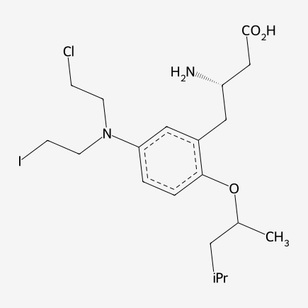 CC(C)CC(C)Oc1ccc(N(CCCl)CCI)cc1C[C@H](N)CC(=O)O